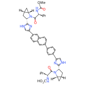 COC(=O)N[C@H](C(=O)N1[C@H](c2nc(-c3ccc4cc(-c5ccc(-c6c[nH]c([C@@H]7C[C@@H]8C[C@@H]8N7C(=O)[C@@H](NC(=O)O)C(C)C)n6)cc5)ccc4c3)c[nH]2)C[C@@H]2C[C@@H]21)C(C)C